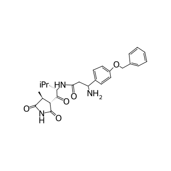 CC(C)[C@H](NC(=O)CC(N)c1ccc(OCc2ccccc2)cc1)C(=O)[C@@H]1C(=O)NC(=O)[C@H]1C